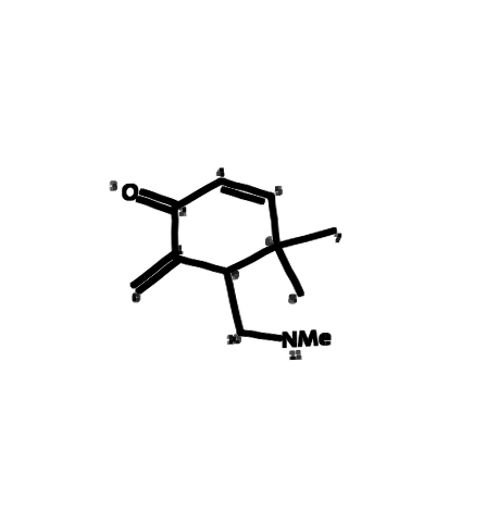 C=C1C(=O)C=CC(C)(C)C1CNC